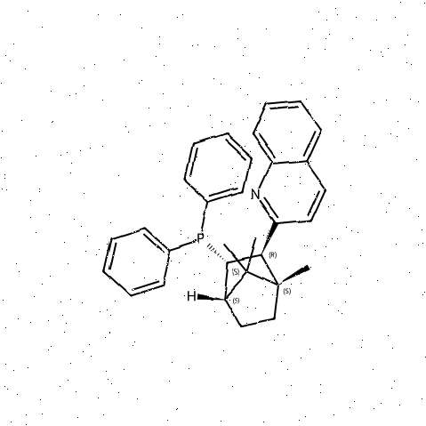 CC1(C)[C@@H]2CC[C@@]1(C)[C@H](c1ccc3ccccc3n1)[C@H]2P(c1ccccc1)c1ccccc1